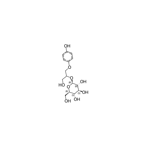 OCC(COc1ccc(O)cc1)O[C@@H]1O[C@H](CO)[C@@H](O)[C@H](O)[C@H]1O